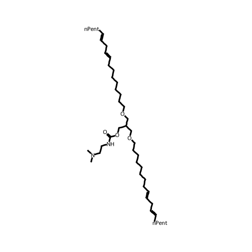 CCCCCC=CCC=CCCCCCCCCOCC(COCCCCCCCCC=CCC=CCCCCC)COC(=O)NCCN(C)C